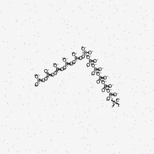 C[N+](C)(C)C.[O-]B([O-])[O-].[O-]B([O-])[O-].[O-]B([O-])[O-].[O-]B([O-])[O-].[O-]B([O-])[O-].[O-]B([O-])[O-].[O-]B([O-])[O-].[O-]B([O-])[O-].[O-]B([O-])[O-].[O-]B([O-])[O-].[O-]B([O-])[O-]